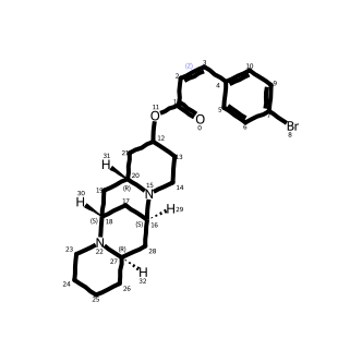 O=C(/C=C\c1ccc(Br)cc1)OC1CCN2[C@@H]3C[C@@H](C[C@@H]2C1)N1CCCC[C@@H]1C3